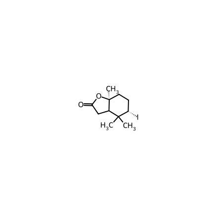 CC1(C)C2CC(=O)O[C@@]2(C)CC[C@@H]1I